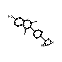 Cc1sc2cc(O)ccc2c(=O)c1-c1ccc(-c2nnc[nH]2)cc1